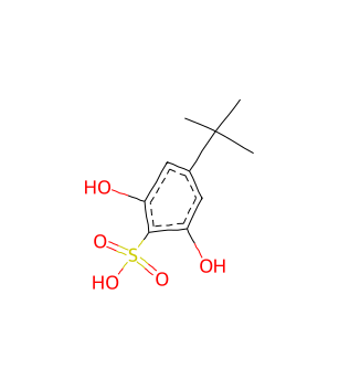 CC(C)(C)c1cc(O)c(S(=O)(=O)O)c(O)c1